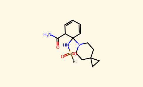 CCS(=O)(=O)NC1(N2CCC3(CC2)CC3)C=CC=CC1C(N)=O